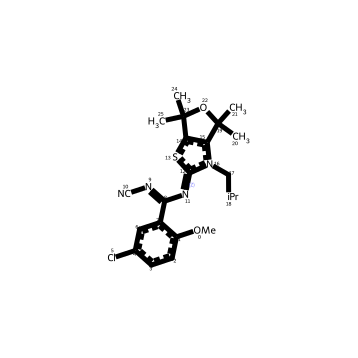 COc1ccc(Cl)cc1C(=NC#N)/N=c1\sc2c(n1CC(C)C)C(C)(C)OC2(C)C